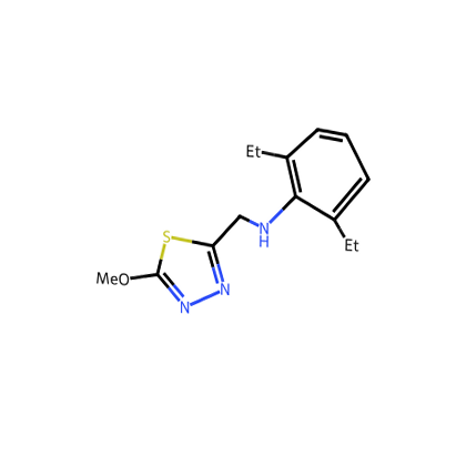 CCc1cccc(CC)c1NCc1nnc(OC)s1